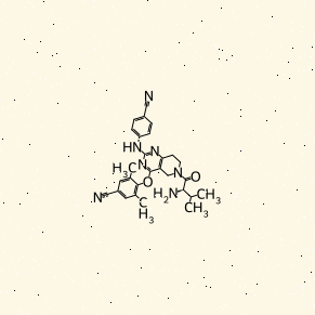 Cc1cc(C#N)cc(C)c1Oc1nc(Nc2ccc(C#N)cc2)nc2c1CN(C(=O)[C@H](N)C(C)C)CC2